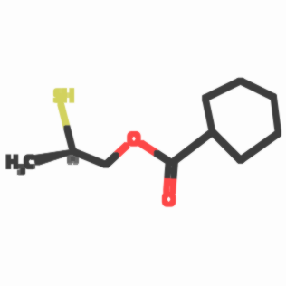 C[C@@H](S)COC(=O)C1CCCCC1